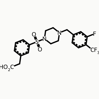 O=C(O)Cc1cccc(S(=O)(=O)N2CCN(Cc3ccc(C(F)(F)F)c(F)c3)CC2)c1